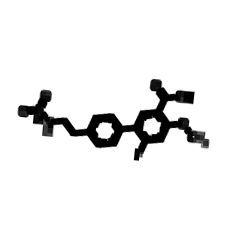 COc1cc(F)c(-c2ccc(CCN[SH](=O)=O)cc2)cc1C(=O)O